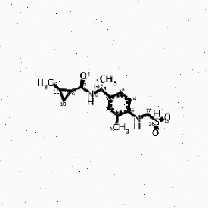 Cc1cc([C@@H](C)NC(=O)C2CC2C)ccc1NC[SH](=O)=O